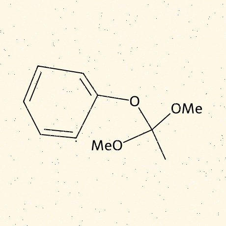 COC(C)(OC)Oc1[c]cccc1